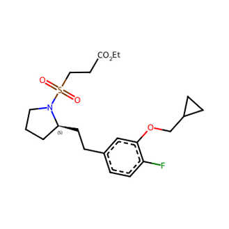 CCOC(=O)CCS(=O)(=O)N1CCC[C@@H]1CCc1ccc(F)c(OCC2CC2)c1